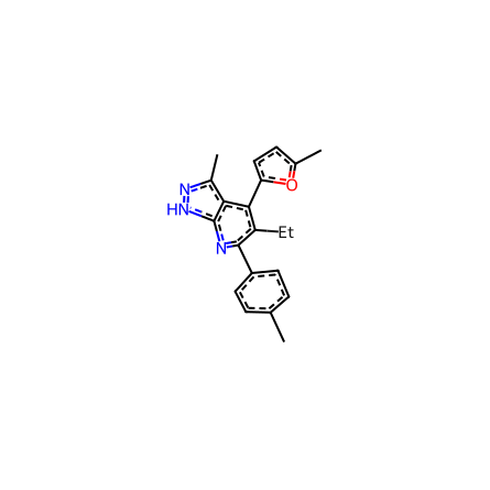 CCc1c(-c2ccc(C)cc2)nc2[nH]nc(C)c2c1-c1ccc(C)o1